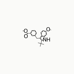 COC(=O)c1cccc(Cc2c(C(C)(C)C)[nH]c3cc(OC)ccc23)c1